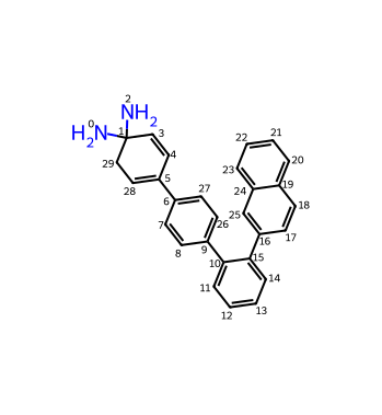 NC1(N)C=CC(c2ccc(-c3ccccc3-c3ccc4ccccc4c3)cc2)=CC1